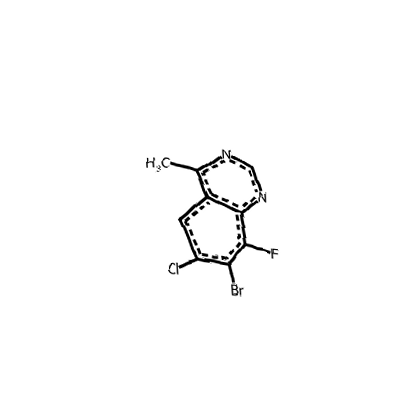 Cc1ncnc2c(F)c(Br)c(Cl)cc12